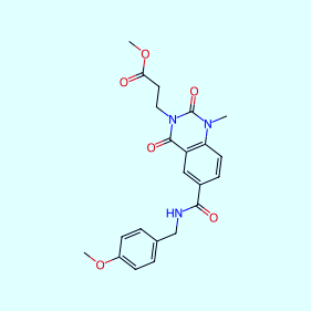 COC(=O)CCn1c(=O)c2cc(C(=O)NCc3ccc(OC)cc3)ccc2n(C)c1=O